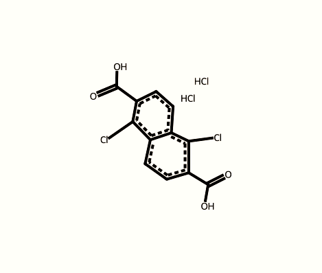 Cl.Cl.O=C(O)c1ccc2c(Cl)c(C(=O)O)ccc2c1Cl